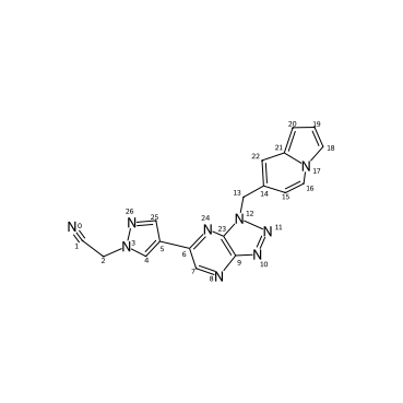 N#CCn1cc(-c2cnc3nnn(Cc4ccn5cccc5c4)c3n2)cn1